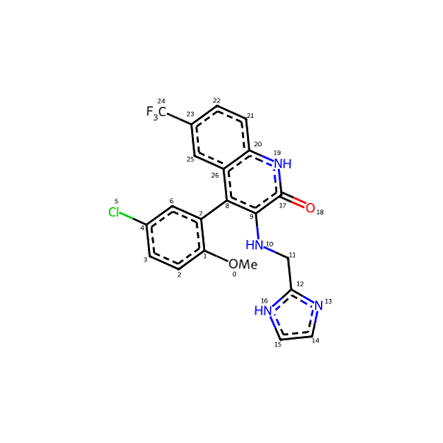 COc1ccc(Cl)cc1-c1c(NCc2ncc[nH]2)c(=O)[nH]c2ccc(C(F)(F)F)cc12